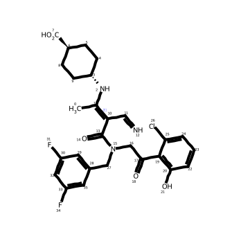 C/C(N[C@H]1CC[C@H](C(=O)O)CC1)=C(/C=N)C(=O)N(CC(=O)c1c(O)cccc1Cl)Cc1cc(F)cc(F)c1